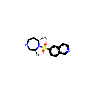 C[C@H]1CCNC[C@H](C)N1S(=O)(=O)c1ccc2cnccc2c1